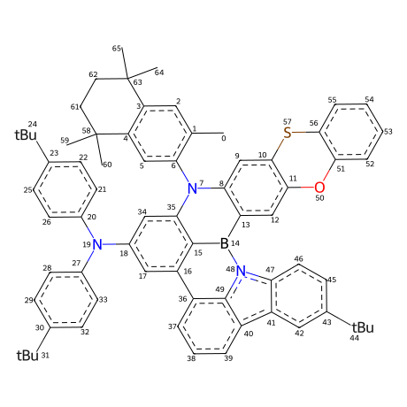 Cc1cc2c(cc1N1c3cc4c(cc3B3c5c(cc(N(c6ccc(C(C)(C)C)cc6)c6ccc(C(C)(C)C)cc6)cc51)-c1cccc5c6cc(C(C)(C)C)ccc6n3c15)Oc1ccccc1S4)C(C)(C)CCC2(C)C